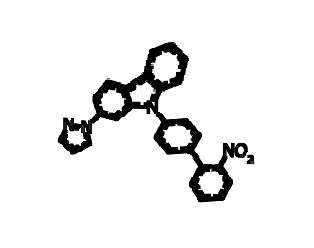 O=[N+]([O-])c1ccccc1-c1ccc(-n2c3ccccc3c3ccc(-n4cccn4)cc32)cc1